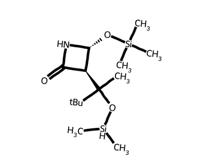 C[SiH](C)OC(C)([C@H]1C(=O)N[C@@H]1O[Si](C)(C)C)C(C)(C)C